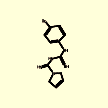 N=C(NC(=N)N1CC=CC1)Nc1ccc(Br)cc1